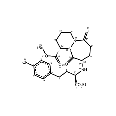 CCOC(=O)[C@@H](CCc1ccc(Cl)cc1)N[C@H]1CCC(=O)N2CCC[C@@H](C(=O)OC(C)(C)C)N2C1=O